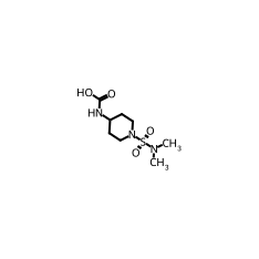 CN(C)S(=O)(=O)N1CCC(NC(=O)O)CC1